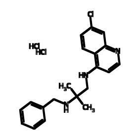 CC(C)(CNc1ccnc2cc(Cl)ccc12)NCc1ccccc1.Cl.Cl